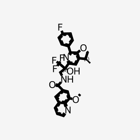 COc1cc(C(=O)NC[C@](O)(c2cc3c(c(-c4ccc(F)cc4)n2)OC[C@H]3C)C(F)(F)F)cc2cccnc12